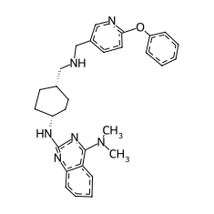 CN(C)c1nc(N[C@H]2CC[C@@H](CNCc3ccc(Oc4ccccc4)nc3)CC2)nc2ccccc12